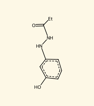 CCC(=O)NNc1cccc(O)c1